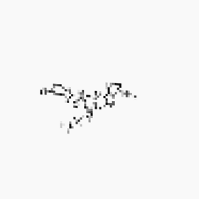 CN(C[C@H]1CN(S(=O)(=O)c2cc3ccc(Cl)cc3s2)CC(=O)N1Cc1ccc2c(N)ncnc2c1)CC(C)(C)N